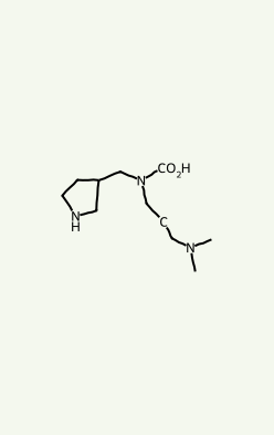 CN(C)CCCN(CC1CCNC1)C(=O)O